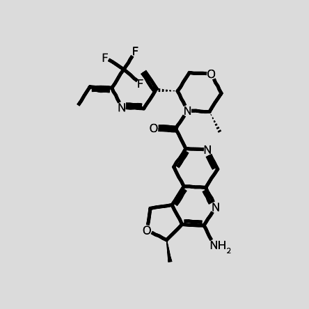 C=C(/C=N\C(=C/C)C(F)(F)F)[C@@H]1COC[C@H](C)N1C(=O)c1cc2c3c(c(N)nc2cn1)[C@@H](C)OC3